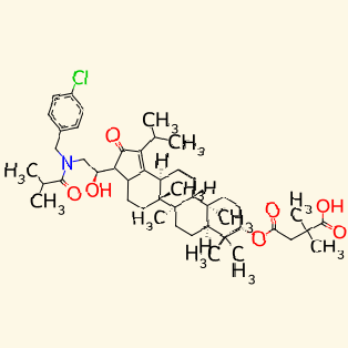 CC(C)C(=O)N(Cc1ccc(Cl)cc1)C[C@H](O)C1C(=O)C(C(C)C)=C2C1CC[C@]1(C)[C@@H]2CC[C@@H]2[C@@]3(C)CC[C@H](OC(=O)CC(C)(C)C(=O)O)C(C)(C)[C@H]3CC[C@]21C